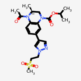 CC(=O)N1c2ccc(-c3cnn(CCS(C)(=O)=O)c3)cc2N(C(=O)OC(C)C)C[C@@H]1C